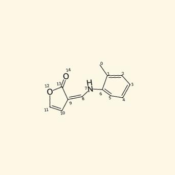 Cc1ccccc1NC=C1C=COC1=O